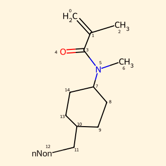 C=C(C)C(=O)N(C)C1CCC(CCCCCCCCCC)CC1